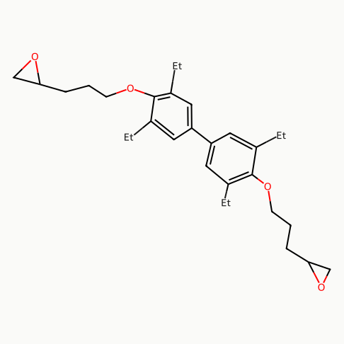 CCc1cc(-c2cc(CC)c(OCCCC3CO3)c(CC)c2)cc(CC)c1OCCCC1CO1